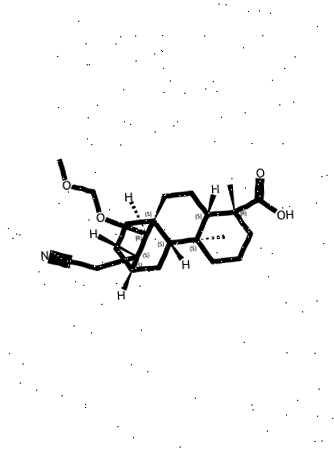 COCO[C@@H]1[C@@H](CC#N)[C@H]2CC[C@@]13CC[C@H]1[C@@](C)(CCC[C@@]1(C)C(=O)O)[C@@H]3C2